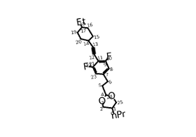 CCCC1COC(CCc2cc(F)c(C#CC3CCC(CC)CC3)c(F)c2)OC1